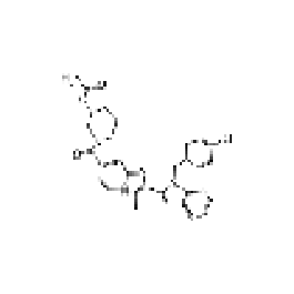 Cc1c(-c2cc3ccccc3n2Cc2ccc(Cl)cc2)nc2cc(C(=O)N3CCCC(OC(N)=O)C3)ccn12